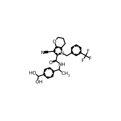 CC(NC(=O)c1c(C#N)c2c(n1Cc1cccc(C(F)(F)F)c1)CCCO2)c1ccc(C(O)O)cc1